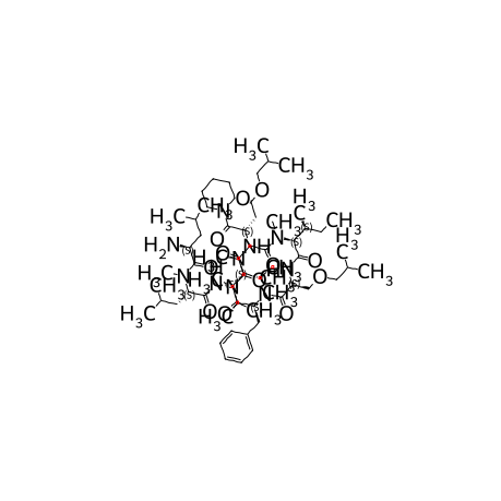 CC[C@H](C)[C@@H](C(=O)N[C@@H](COCC(C)C)C(=O)N(C)[C@@H](Cc1ccccc1)C(=O)N(C)[C@H](C(=O)N[C@@H](CC(=O)OCC(C)C)C(=O)N1CCCCC1)C(C)C)N(C)C(=O)CN(C)C(=O)[C@@H](NC(=O)[C@H](CC(C)C)N(C)C(=O)[C@@H](N)CC(C)C)C(C)C